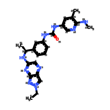 CCn1cc2ncc(N[C@@H](C)c3cccc(NC(=O)Nc4cnc(NC)c(C)c4)c3)nc2n1